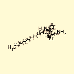 CCCCCCCCCCCCCCCCCC.CCNC(CCCN)C(=O)O.NC(=O)C1CCCCO1